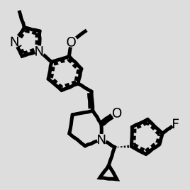 COc1cc(/C=C2\CCCN([C@H](c3ccc(F)cc3)C3CC3)C2=O)ccc1-n1cnc(C)c1